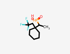 CC([PH](=O)O)C1(CC(F)(F)F)CCCCC1